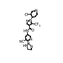 N#Cc1cc(NC(=O)c2cnn(-c3ccncc3Cl)c2C(F)(F)F)cnc1N1N=CCN1